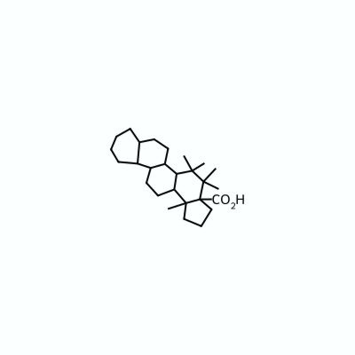 CC1(C)C2C3CCC4CCCCC4C3CCC2C2(C)CCCC2(C(=O)O)C1(C)C